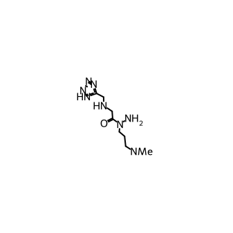 CNCCCN(N)C(=O)CNCc1nnn[nH]1